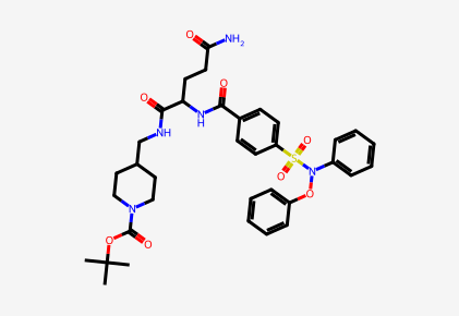 CC(C)(C)OC(=O)N1CCC(CNC(=O)C(CCC(N)=O)NC(=O)c2ccc(S(=O)(=O)N(Oc3ccccc3)c3ccccc3)cc2)CC1